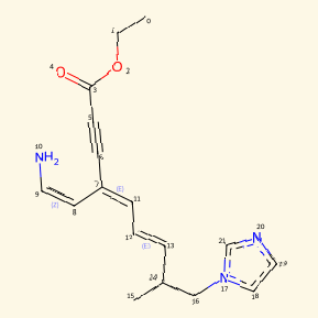 CCOC(=O)C#CC(/C=C\N)=C/C=C/C(C)Cn1ccnc1